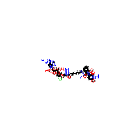 Nc1ncnc2c1ccn2[C@@H]1O[C@H]([C@H](O)c2ccc(Cl)c(OCCNC(=O)CCCCCCCNc3cccc4c3C(=O)N(C3CCC(=O)NC3=O)C4=O)c2)[C@@H](O)[C@H]1O